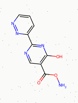 NOC(=O)c1cnc(-c2cccnn2)nc1O